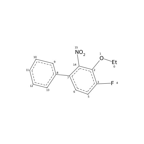 CCOc1c(F)ccc(-c2ccccc2)c1[N+](=O)[O-]